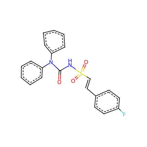 O=C(NS(=O)(=O)C=Cc1ccc(F)cc1)N(c1ccccc1)c1ccccc1